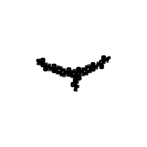 C=CC(=O)COC(=O)CCC(=O)Oc1ccc2cc(C(=O)Oc3ccc(OC(=O)c4ccc5cc(OC(=O)CCC(=O)COC(=O)C=C)ccc5c4)cc3C(=O)OCC(=O)C=C)ccc2c1